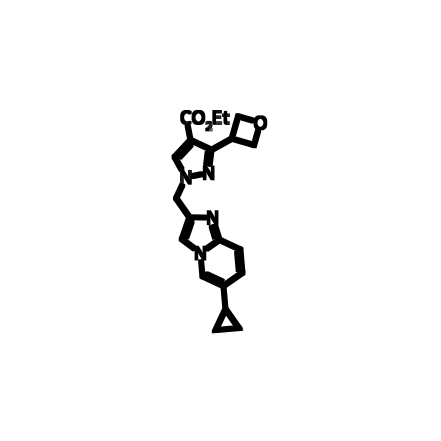 CCOC(=O)c1cn(Cc2cn3cc(C4CC4)ccc3n2)nc1C1COC1